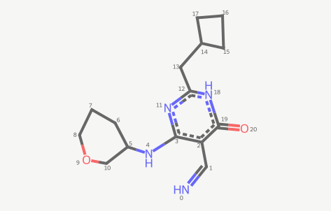 N=Cc1c(NC2CCCOC2)nc(CC2CCC2)[nH]c1=O